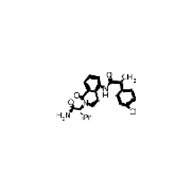 CC(C)[C@H](C(N)=O)n1ccc2c(NC(=O)[C@@H](C)c3ccc(Cl)cc3)cccc2c1=O